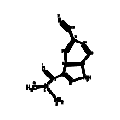 CN(N)C(=O)c1c[nH]c2ccc(C#N)cc12